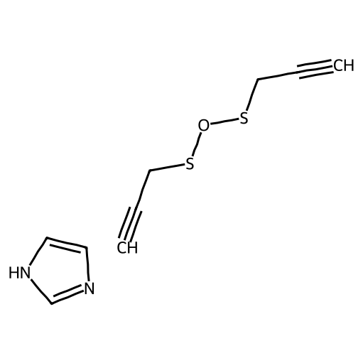 C#CCSOSCC#C.c1c[nH]cn1